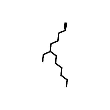 C=CCCCC(CC)CCCCCC